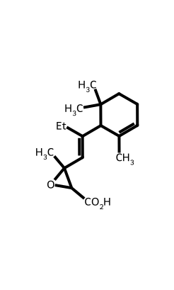 CCC(=CC1(C)OC1C(=O)O)C1C(C)=CCCC1(C)C